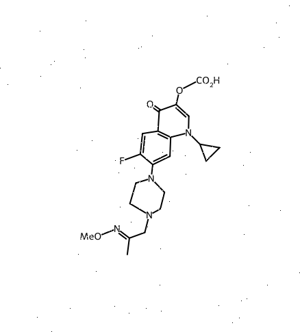 CON=C(C)CN1CCN(c2cc3c(cc2F)c(=O)c(OC(=O)O)cn3C2CC2)CC1